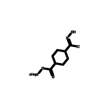 CCCCCCCOC(=O)C1CCC(/C(Cl)=N/O)CC1